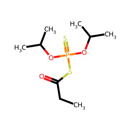 CCC(=O)SP(=S)(OC(C)C)OC(C)C